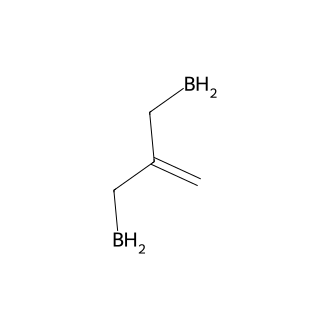 BCC(=C)CB